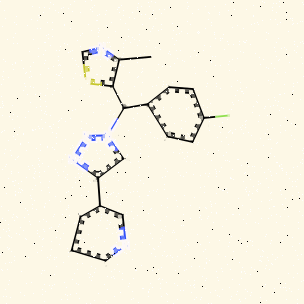 Cc1ncsc1C(c1ccc(F)cc1)n1cc(-c2cccnc2)nn1